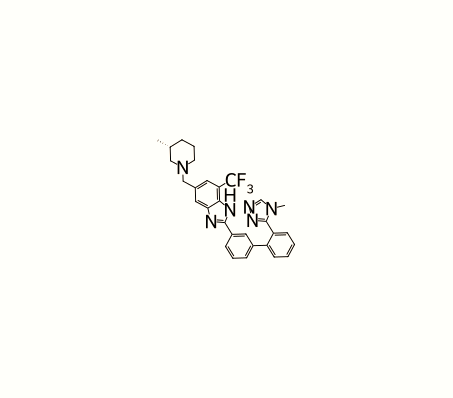 C[C@@H]1CCCN(Cc2cc(C(F)(F)F)c3[nH]c(-c4cccc(-c5ccccc5-c5nncn5C)c4)nc3c2)C1